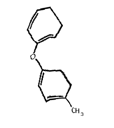 CC1=CC=C(OC2=CCCC=C2)CC1